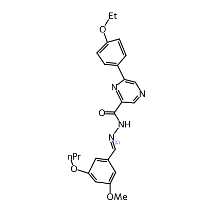 CCCOc1cc(/C=N/NC(=O)c2cncc(-c3ccc(OCC)cc3)n2)cc(OC)c1